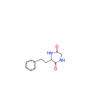 O=C1CNC(=O)C(CCc2ccccc2)N1